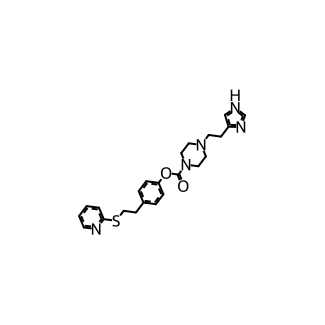 O=C(Oc1ccc(CCSc2ccccn2)cc1)N1CCN(CCc2c[nH]cn2)CC1